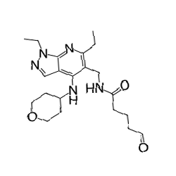 CCc1nc2c(cnn2CC)c(NC2CCOCC2)c1CNC(=O)CCCC=O